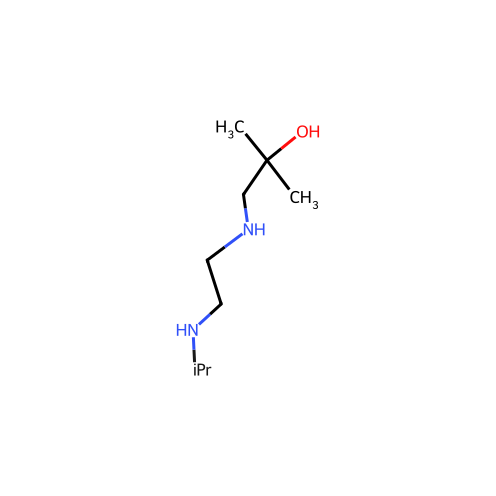 CC(C)NCCNCC(C)(C)O